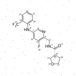 O=C(NCc1ncc(Nc2ccccc2C(F)(F)F)cc1F)[C@@H]1CCOC1